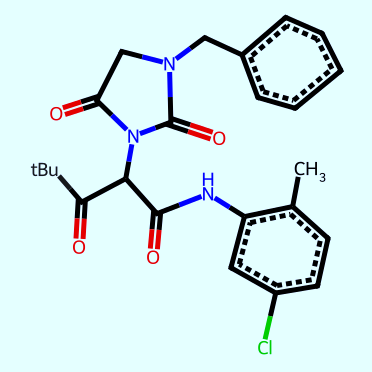 Cc1ccc(Cl)cc1NC(=O)C(C(=O)C(C)(C)C)N1C(=O)CN(Cc2ccccc2)C1=O